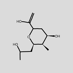 C=C(O)C1C[C@@H](O)[C@@H](C)[C@@H](CC(C)O)O1